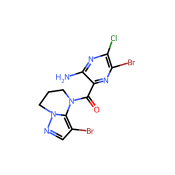 Nc1nc(Cl)c(Br)nc1C(=O)N1CCCn2ncc(Br)c21